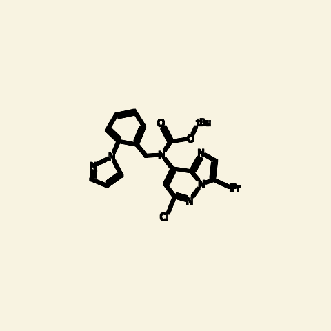 CC(C)c1cnc2c(N(Cc3ccccc3-n3cccn3)C(=O)OC(C)(C)C)cc(Cl)nn12